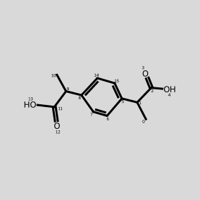 CC(C(=O)O)c1ccc(C(C)C(=O)O)cc1